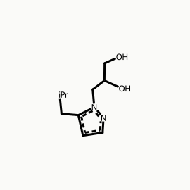 CC(C)Cc1ccnn1CC(O)CO